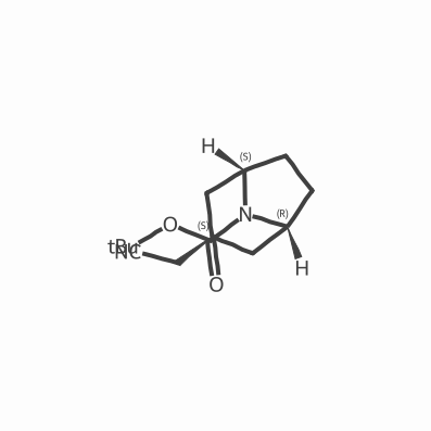 CC(C)(C)OC(=O)N1[C@@H]2CC[C@H]1C[C@H](CC#N)C2